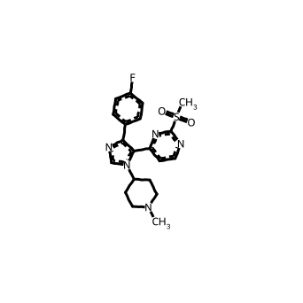 CN1CCC(n2cnc(-c3ccc(F)cc3)c2-c2ccnc(S(C)(=O)=O)n2)CC1